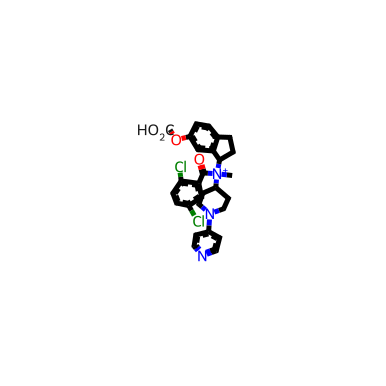 C[N+](C(=O)c1cc(Cl)ccc1Cl)(C1CCN(c2ccncc2)CC1)C1CCc2ccc(OC(=O)O)cc21